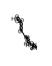 Cc1cc(NC(=O)Nc2cnc3ccnn3c2C2CCCC2)cnc1-c1cn(CCCCCCC(=O)N2CCN(c3ccc4c(c3)CN(C3CCC(=O)NC3=O)C4=O)CC2)nn1